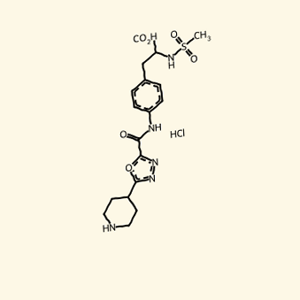 CS(=O)(=O)NC(Cc1ccc(NC(=O)c2nnc(C3CCNCC3)o2)cc1)C(=O)O.Cl